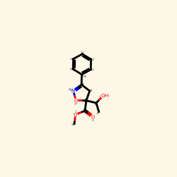 COC(=O)C1(C(C)O)CC(c2ccccc2)=NO1